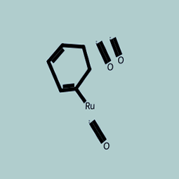 [C]=O.[C]=O.[C]=O.[Ru][C]1=CC=CCC1